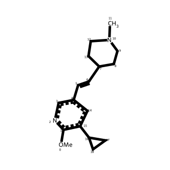 COc1ncc(/C=C/C2CCN(C)CC2)cc1C1CC1